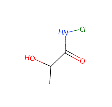 CC(O)C(=O)NCl